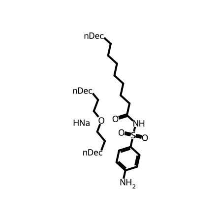 CCCCCCCCCCCCCCCCCC(=O)NS(=O)(=O)c1ccc(N)cc1.CCCCCCCCCCCCOCCCCCCCCCCCC.[NaH]